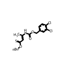 CCCCOC(=S)C=C(C)NC(=O)OCc1ccc(Cl)c(Cl)c1